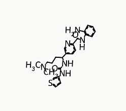 CN(C)CCCC(NC(=O)Nc1ccsc1)c1ccc(C(=O)Nc2ccccc2N)nc1